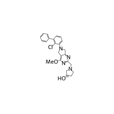 COc1nc(CN2CC[C@H](O)C2)nc2c1CN(c1cccc(-c3ccccc3)c1Cl)C2